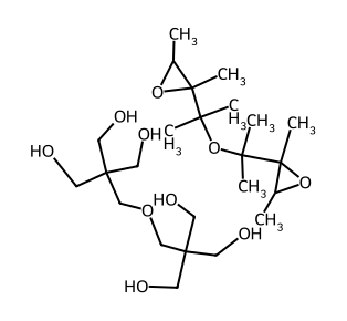 CC1OC1(C)C(C)(C)OC(C)(C)C1(C)OC1C.OCC(CO)(CO)COCC(CO)(CO)CO